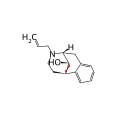 C=CCN1CC[C@]23CCCC[C@@]2(O)[C@H]1Cc1ccccc13